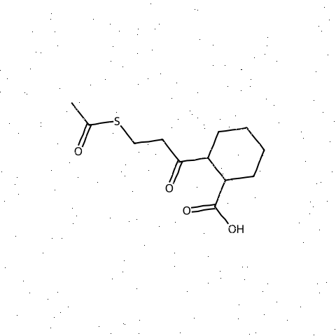 CC(=O)SCCC(=O)C1CCCCC1C(=O)O